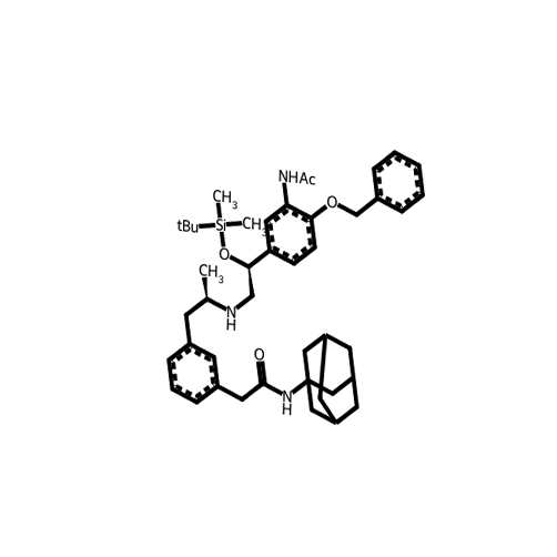 CC(=O)Nc1cc([C@@H](CN[C@H](C)Cc2cccc(CC(=O)NC34CC5CC(CC(C5)C3)C4)c2)O[Si](C)(C)C(C)(C)C)ccc1OCc1ccccc1